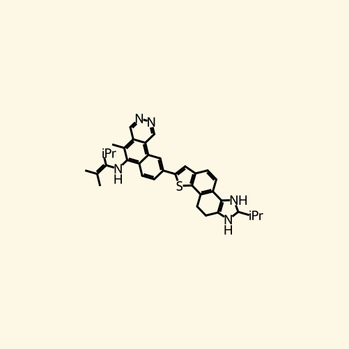 CC(C)=C(Nc1c(C)c2cnncc2c2cc(-c3cc4ccc5c(c4s3)CCC3=C5NC(C(C)C)N3)ccc12)C(C)C